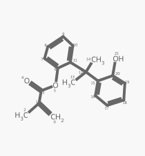 C=C(C)C(=O)Oc1ccccc1C(C)(C)c1ccccc1O